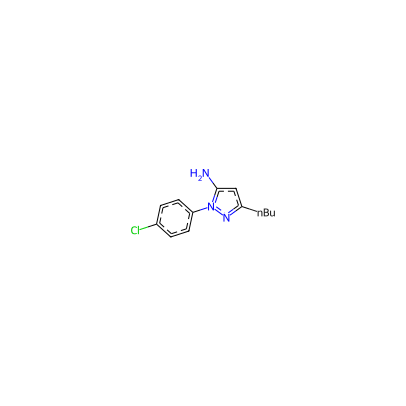 CCCCc1cc(N)n(-c2ccc(Cl)cc2)n1